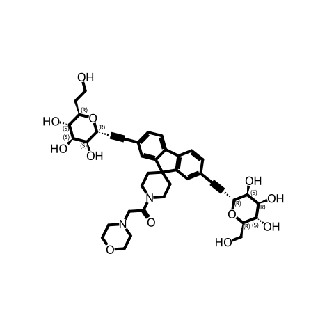 O=C(CN1CCOCC1)N1CCC2(CC1)c1cc(C#C[C@H]3O[C@H](CO)[C@@H](O)[C@H](O)[C@@H]3O)ccc1-c1ccc(C#C[C@H]3O[C@H](CCO)[C@@H](O)[C@H](O)[C@@H]3O)cc12